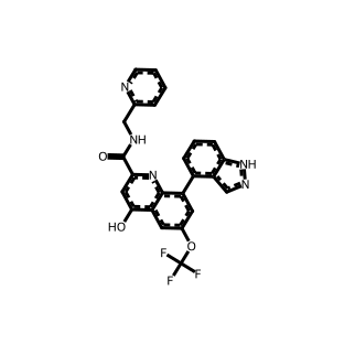 O=C(NCc1ccccn1)c1cc(O)c2cc(OC(F)(F)F)cc(-c3cccc4[nH]ncc34)c2n1